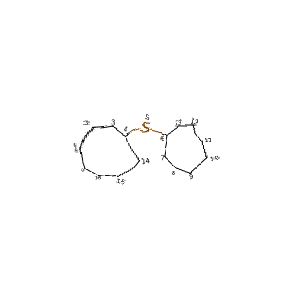 C1CCCC(SC2CCCCCCC2)CCC1